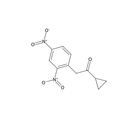 O=C(Cc1ccc([N+](=O)[O-])cc1[N+](=O)[O-])C1CC1